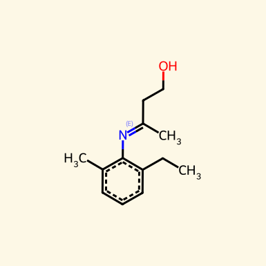 CCc1cccc(C)c1/N=C(\C)CCO